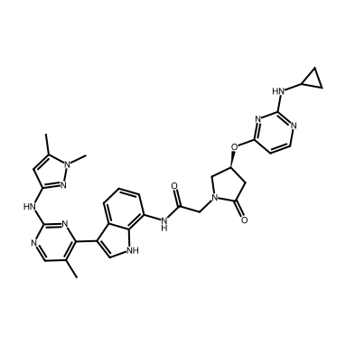 Cc1cnc(Nc2cc(C)n(C)n2)nc1-c1c[nH]c2c(NC(=O)CN3C[C@@H](Oc4ccnc(NC5CC5)n4)CC3=O)cccc12